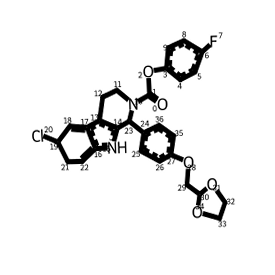 O=C(Oc1ccc(F)cc1)N1CCc2c([nH]c3c2=CC(Cl)CC=3)C1c1ccc(OCC2OCCO2)cc1